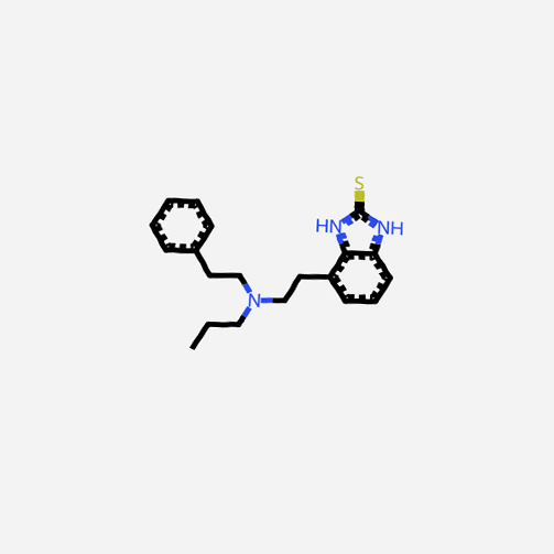 CCCN(CCc1ccccc1)CCc1cccc2[nH]c(=S)[nH]c12